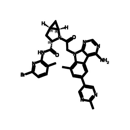 Cc1ncc(-c2cc(C)c3c(c2)c2c(N)ncnc2n3CC(=O)N2[C@@H]3C[C@@H]3C[C@H]2C(=O)Nc2nc(Br)ccc2C)cn1